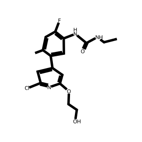 CCNC(=O)Nc1cc(-c2cc(Cl)nc(OCCO)c2)c(C)cc1F